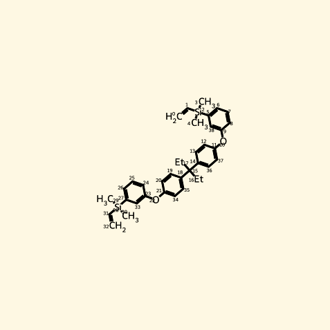 C=C[Si](C)(C)c1cccc(Oc2ccc(C(CC)(CC)c3ccc(Oc4cccc([Si](C)(C)C=C)c4)cc3)cc2)c1